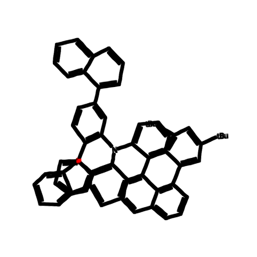 CC(C)(C)c1cc(-c2cccc3cccc(-c4ccccc4N(c4cc(-c5cccc6ccccc56)ccc4-c4ccccc4)c4cccc5c4sc4ccccc45)c23)cc(C(C)(C)C)c1